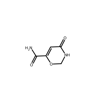 NC(=O)C1=CC(=O)NCO1